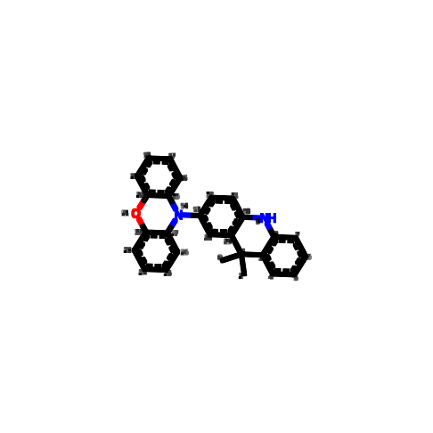 CC1(C)c2ccccc2Nc2ccc(N3c4ccccc4Oc4ccccc43)cc21